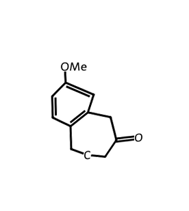 COc1ccc2c(c1)CC(=O)CCC2